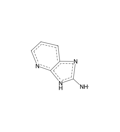 [NH]c1nc2cccnc2[nH]1